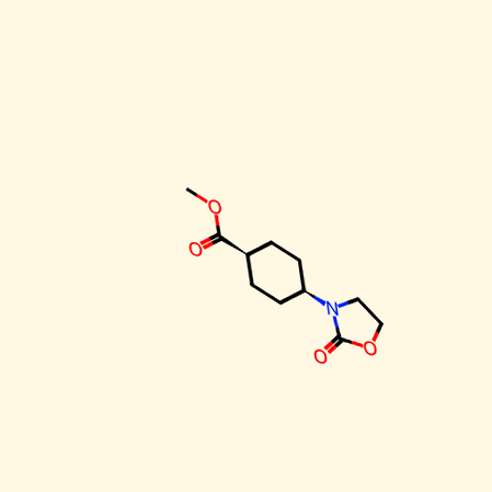 COC(=O)[C@H]1CC[C@@H](N2CCOC2=O)CC1